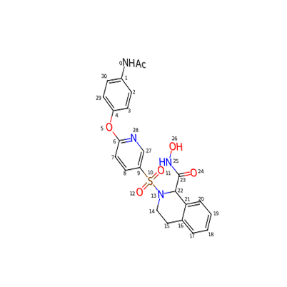 CC(=O)Nc1ccc(Oc2ccc(S(=O)(=O)N3CCc4ccccc4C3C(=O)NO)cn2)cc1